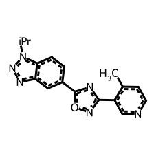 Cc1ccncc1-c1noc(-c2ccc3c(c2)nnn3C(C)C)n1